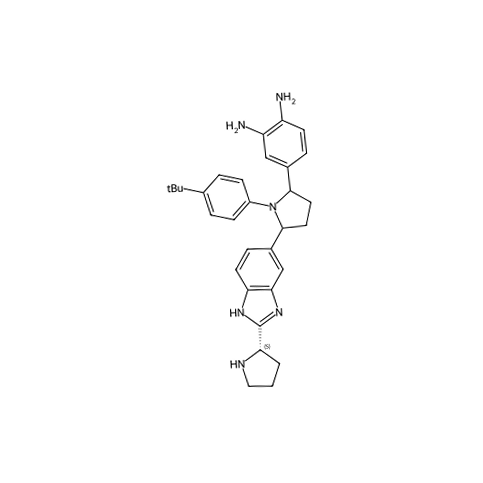 CC(C)(C)c1ccc(N2C(c3ccc(N)c(N)c3)CCC2c2ccc3[nH]c([C@@H]4CCCN4)nc3c2)cc1